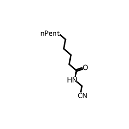 CCCCCCCCCC(=O)NCC#N